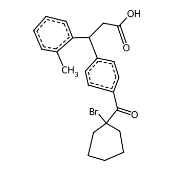 Cc1ccccc1C(CC(=O)O)c1ccc(C(=O)C2(Br)CCCCC2)cc1